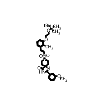 Cc1c(/C=C/S(=O)(=O)N2CCC3(CC2)N=C(c2cccc(OC(F)(F)F)c2)NC3=O)cccc1OCCO[Si](C)(C)C(C)(C)C